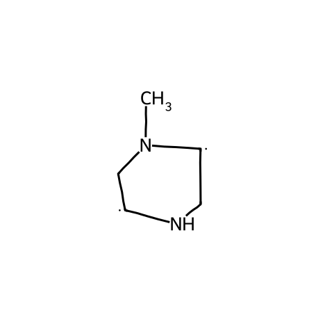 CN1[CH]CN[CH]C1